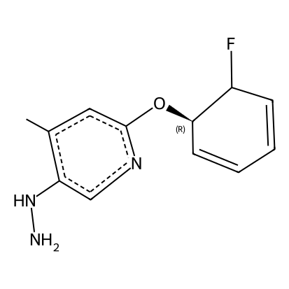 Cc1cc(O[C@@H]2C=CC=CC2F)ncc1NN